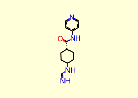 N=CN[C@H]1CC[C@H](C(=O)Nc2ccncc2)CC1